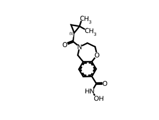 CC1(C)C[C@@H]1C(=O)N1CCOc2cc(C(=O)NO)ccc2C1